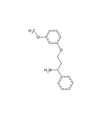 COc1cccc(OCCC(N)c2ccccc2)c1